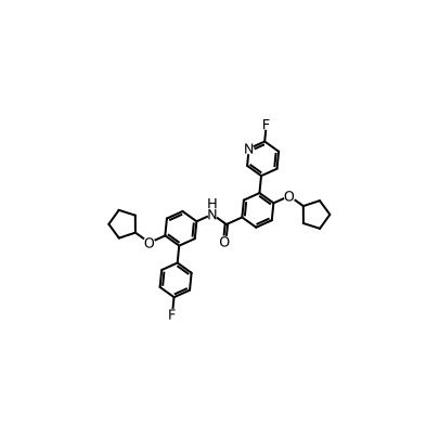 O=C(Nc1ccc(OC2CCCC2)c(-c2ccc(F)cc2)c1)c1ccc(OC2CCCC2)c(-c2ccc(F)nc2)c1